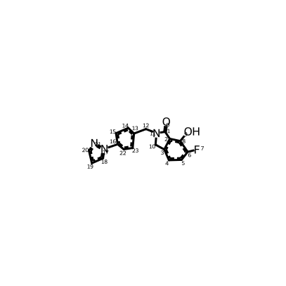 O=C1c2c(ccc(F)c2O)CN1Cc1ccc(-n2cccn2)cc1